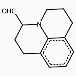 O=CC1CCc2cccc3c2N1CCC3